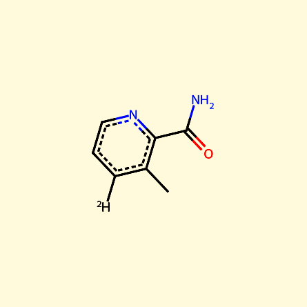 [2H]c1ccnc(C(N)=O)c1C